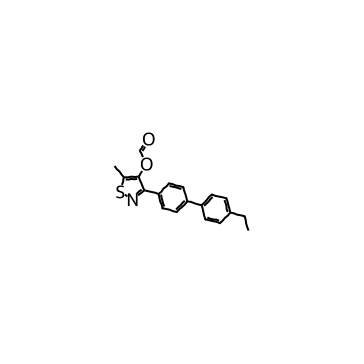 CCc1ccc(-c2ccc(-c3nsc(C)c3OC=O)cc2)cc1